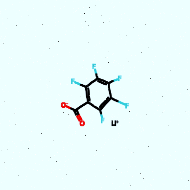 O=C([O-])c1c(F)c(F)c(F)c(F)c1F.[Li+]